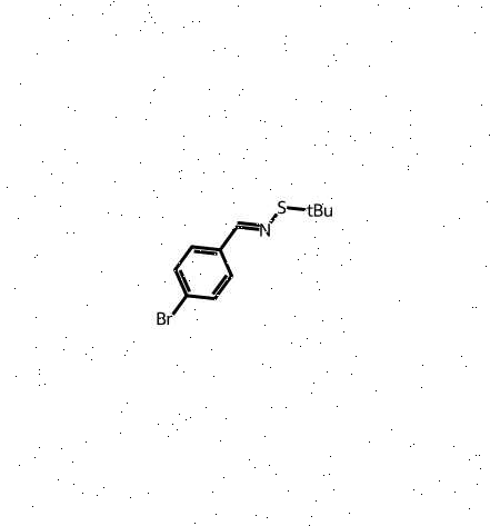 CC(C)(C)S/N=C/c1ccc(Br)cc1